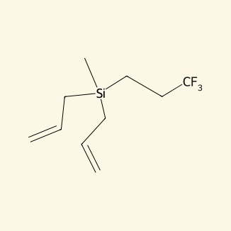 C=CC[Si](C)(CC=C)CCC(F)(F)F